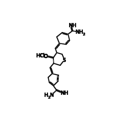 Cl.N=C(N)C1=CCC(=CC2CSCC(C=C3C=CC(C(=N)N)=CC3)C2=O)C=C1